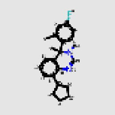 Cc1cc(F)ccc1C1(C)c2cccc(C3CCCC3)c2N=CN1C